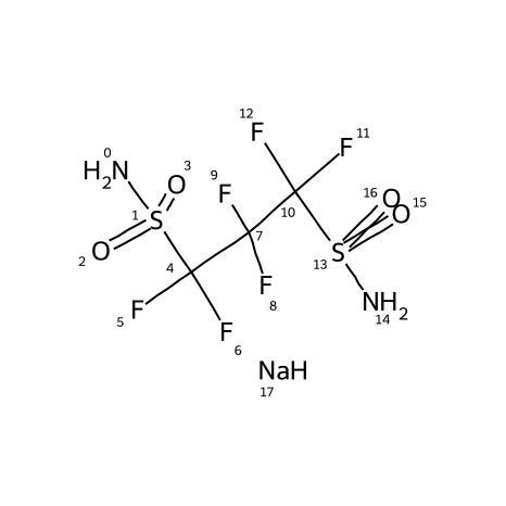 NS(=O)(=O)C(F)(F)C(F)(F)C(F)(F)S(N)(=O)=O.[NaH]